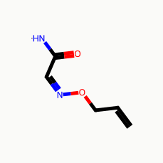 C=CCO/N=C\C([NH])=O